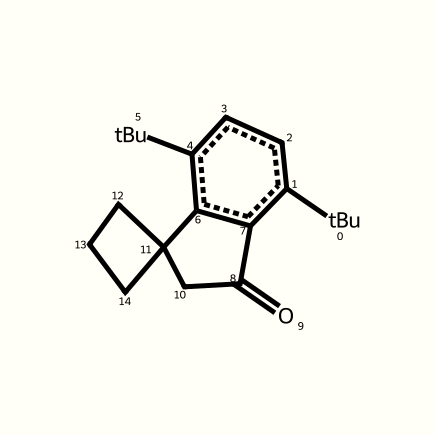 CC(C)(C)c1ccc(C(C)(C)C)c2c1C(=O)CC21CCC1